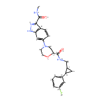 CNC(=O)c1n[nH]c2cc(N3CCOC(C(=O)NCC4CC4c4cccc(F)c4)C3)ccc12